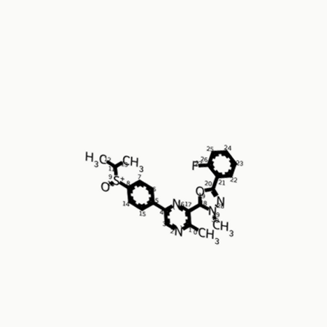 Cc1ncc(-c2ccc([S+]([O-])C(C)C)cc2)nc1C1OC(c2ccccc2F)=NN1C